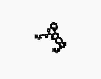 CCOC(=O)c1nc2cc3c(cc2cc1-[n+]1ccccc1)ncn3C